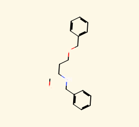 OC[C@H](CCOCc1ccccc1)NCc1ccccc1